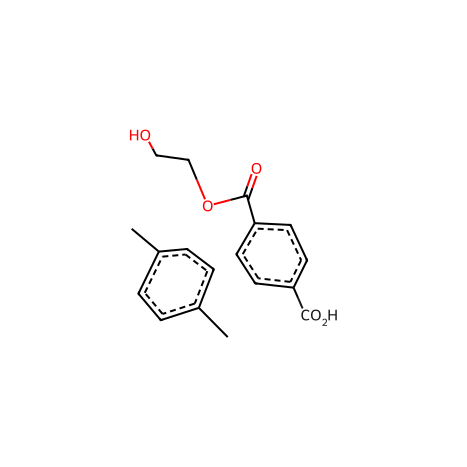 Cc1ccc(C)cc1.O=C(O)c1ccc(C(=O)OCCO)cc1